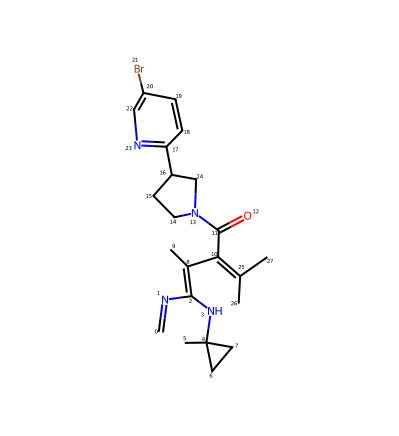 C=N/C(NC1(C)CC1)=C(\C)C(C(=O)N1CCC(c2ccc(Br)cn2)C1)=C(C)C